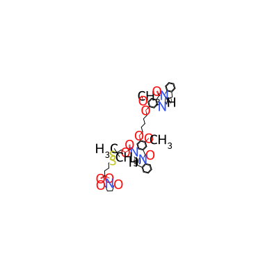 COc1cc2c(cc1OCCCCCOc1cc3c(cc1OC)C(=O)N1c4ccccc4C[C@H]1CN3C(=O)OCC(C)(C)SSCCCC(=O)ON1C(=O)CCC1=O)N=C[C@@H]1Cc3ccccc3N1C2=O